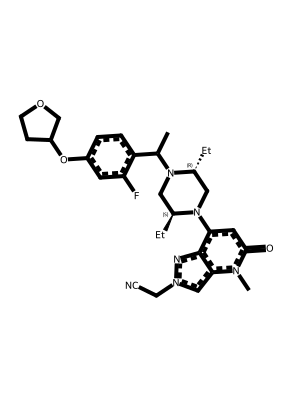 CC[C@H]1CN(C(C)c2ccc(OC3CCOC3)cc2F)[C@H](CC)CN1c1cc(=O)n(C)c2cn(CC#N)nc12